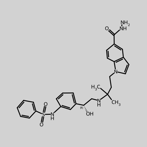 CC(C)(CCn1ccc2cc(C(=O)NN)ccc21)NC[C@H](O)c1cccc(NS(=O)(=O)c2ccccc2)c1